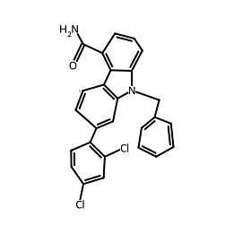 NC(=O)c1cccc2c1c1[c]cc(-c3ccc(Cl)cc3Cl)cc1n2Cc1ccccc1